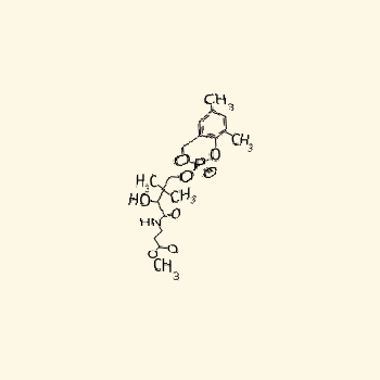 COC(=O)CCNC(=O)C(O)C(C)(C)COP1(=O)OCc2cc(C)cc(C)c2O1